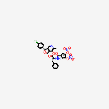 Cc1ncc2c(c1OC(=O)[C@@H](Cc1ccccc1)NC(=O)C1C[C@H](O[N+](=O)[O-])[C@H](O[N+](=O)[O-])C1)CO[C@H]2c1ccc(Cl)cc1